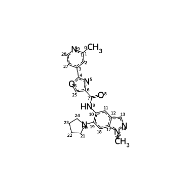 Cc1cc(-c2nc(C(=O)Nc3cc4cnn(C)c4cc3N3CCCC3)co2)ccn1